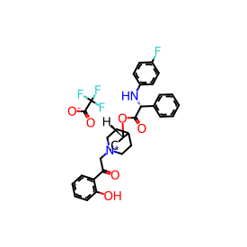 O=C(C[N+]12CCC(CC1)[C@@H](OC(=O)[C@H](Nc1ccc(F)cc1)c1ccccc1)C2)c1ccccc1O.O=C([O-])C(F)(F)F